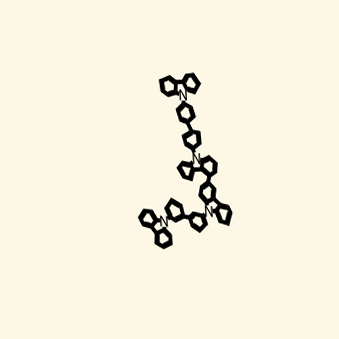 c1cc(-c2cccc(-n3c4ccccc4c4cc(-c5cccc6c5c5ccccc5n6-c5ccc(-c6ccc(-n7c8ccccc8c8ccccc87)cc6)cc5)ccc43)c2)cc(-n2c3ccccc3c3ccccc32)c1